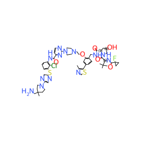 Cc1ncsc1-c1ccc(CNC(=O)[C@@H]2C[C@@H](O)CN2C(=O)[C@@H](NC(=O)C2(F)CC2)C(C)(C)C)c(OCCN2CCN(c3nccc(C(=O)Nc4cccc(Sc5cnc(N6CCC(C)(CN)CC6)cn5)c4Cl)n3)CC2)c1